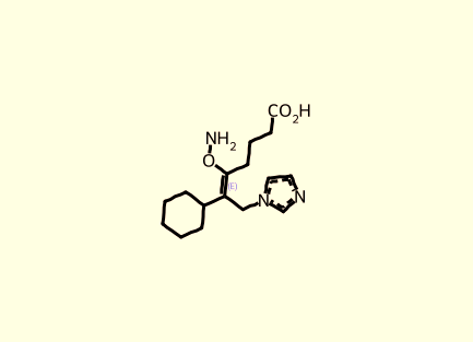 NO/C(CCCC(=O)O)=C(/Cn1ccnc1)C1CCCCC1